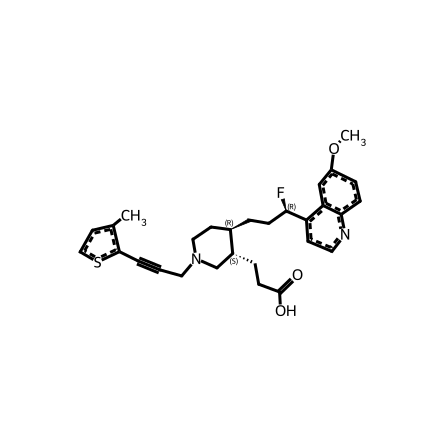 COc1ccc2nccc([C@H](F)CC[C@@H]3CCN(CC#Cc4sccc4C)C[C@H]3CCC(=O)O)c2c1